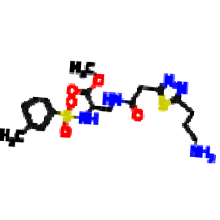 COC(=O)C(CNC(=O)Cc1nnc(CCCN)s1)NS(=O)(=O)c1cccc(C)c1